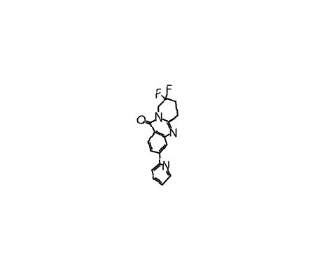 O=c1c2ccc(-c3ccccn3)cc2nc2n1CC(F)(F)CC2